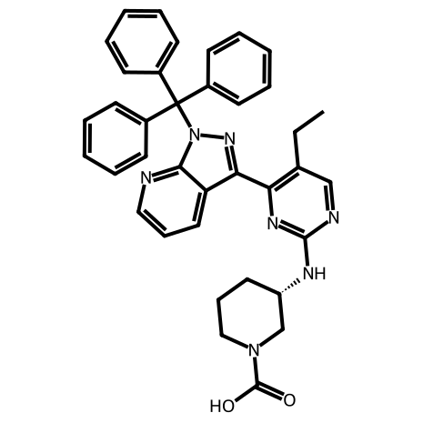 CCc1cnc(N[C@H]2CCCN(C(=O)O)C2)nc1-c1nn(C(c2ccccc2)(c2ccccc2)c2ccccc2)c2ncccc12